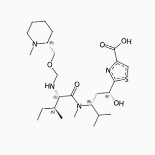 CC[C@H](C)[C@H](NCOC[C@H]1CCCCN1C)C(=O)N(C)[C@H](C[C@@H](O)c1nc(C(=O)O)cs1)C(C)C